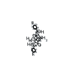 CCC1(C)C(C(=O)OC[C@H](O)c2ccc(F)cc2)=CN(N)C1C(=O)OC[C@H](O)c1ccc(F)cc1